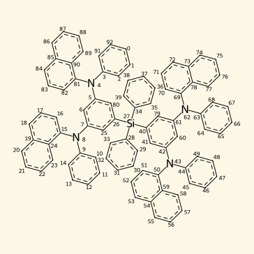 c1ccc(N(c2cc(N(c3ccccc3)c3cccc4ccccc34)cc([Si](c3ccccc3)(c3ccccc3)c3cc(N(c4ccccc4)c4cccc5ccccc45)cc(N(c4ccccc4)c4cccc5ccccc45)c3)c2)c2cccc3ccccc23)cc1